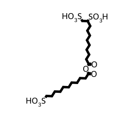 O=C(CCCCCCCCCCS(=O)(=O)O)OC(=O)CCCCCCCCC(CS(=O)(=O)O)S(=O)(=O)O